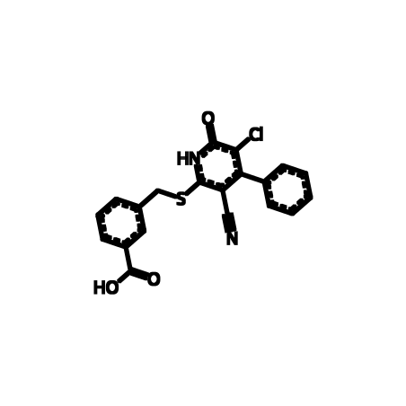 N#Cc1c(SCc2cccc(C(=O)O)c2)[nH]c(=O)c(Cl)c1-c1ccccc1